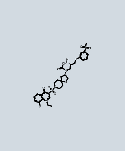 CCn1cc(S(=O)(=O)N2CCC3(CC2)C[C@@H](N(C[C@H](O)COc2cccc(S(C)(=O)=O)c2)C(=O)O)CO3)c(=O)c2cccc(F)c21